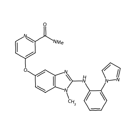 CNC(=O)c1cc(Oc2ccc3c(c2)nc(Nc2ccccc2-n2cccn2)n3C)ccn1